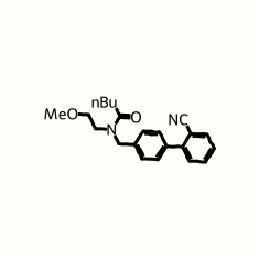 CCCCC(=O)N(CCOC)Cc1ccc(-c2ccccc2C#N)cc1